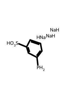 O=S(=O)(O)c1cccc(P)c1.[NaH].[NaH].[NaH]